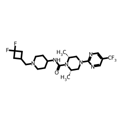 C[C@@H]1CN(c2ncc(C(F)(F)F)cn2)C[C@H](C)N1C(=O)NC1CCN(CC2CC(F)(F)C2)CC1